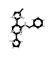 Cc1coc(-c2cnc(-c3cccs3)nc2SCc2ccccc2)n1